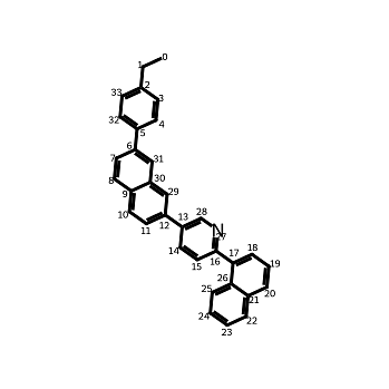 CCc1ccc(-c2ccc3ccc(-c4ccc(-c5cccc6ccccc56)nc4)cc3c2)cc1